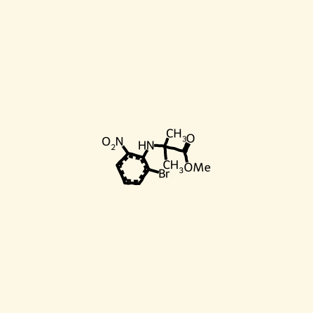 COC(=O)C(C)(C)Nc1c(Br)cccc1[N+](=O)[O-]